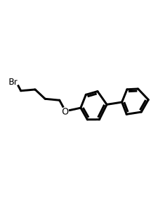 BrCCCCOc1ccc(-c2ccccc2)cc1